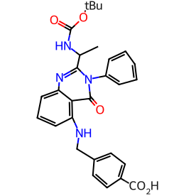 CC(NC(=O)OC(C)(C)C)c1nc2cccc(NCc3ccc(C(=O)O)cc3)c2c(=O)n1-c1ccccc1